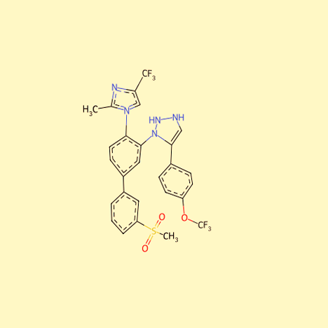 Cc1nc(C(F)(F)F)cn1-c1ccc(-c2cccc(S(C)(=O)=O)c2)cc1N1NNC=C1c1ccc(OC(F)(F)F)cc1